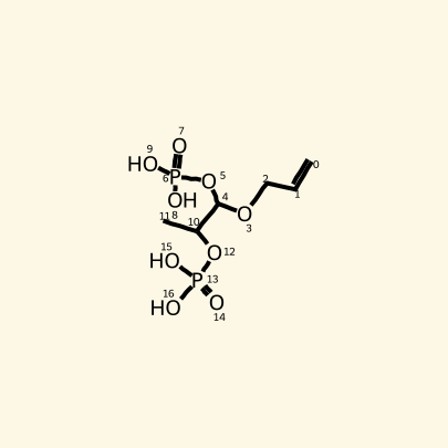 C=CCOC(OP(=O)(O)O)C(C)OP(=O)(O)O